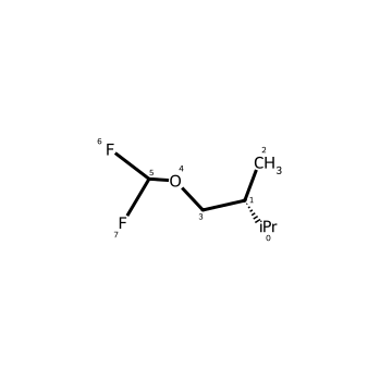 CC(C)[C@@H](C)COC(F)F